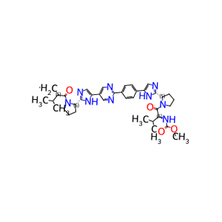 [CH2][C@H](C(=O)N1CCC[C@H]1c1ncc(-c2cnc(-c3ccc(-c4cnc([C@@H]5CCCN5C(=O)[C@@H](NC(=O)OC)C(C)C)[nH]4)cc3)nc2)[nH]1)C(C)C